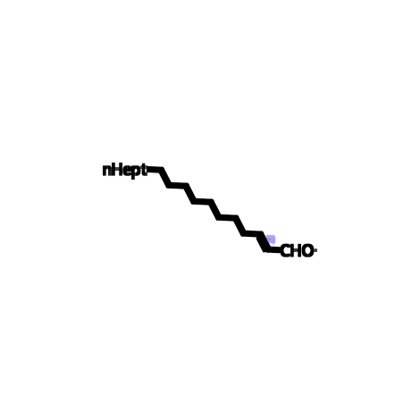 CCCCCCCCCCCCCCC/C=C/[C]=O